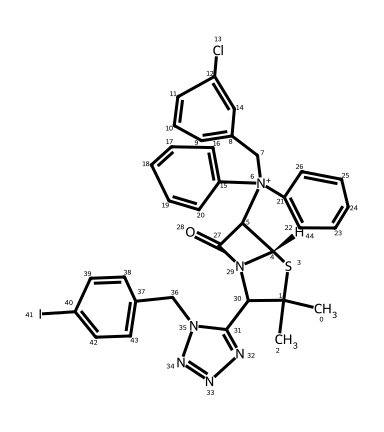 CC1(C)S[C@H]2C([N+](Cc3cccc(Cl)c3)(c3ccccc3)c3ccccc3)C(=O)N2C1c1nnnn1Cc1ccc(I)cc1